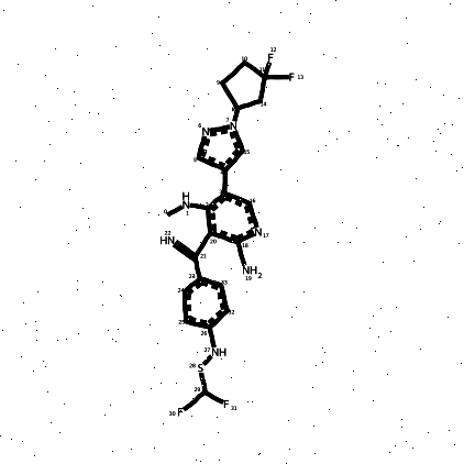 CNc1c(-c2cnn(C3CCC(F)(F)C3)c2)cnc(N)c1C(=N)c1ccc(NSC(F)F)cc1